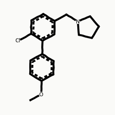 COc1ccc(-c2cc(CN3CCCC3)ccc2Cl)cc1